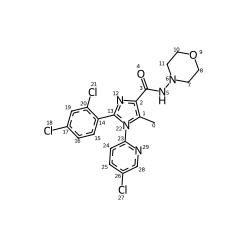 Cc1c(C(=O)NN2CCOCC2)nc(-c2ccc(Cl)cc2Cl)n1-c1ccc(Cl)cn1